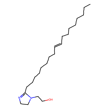 CCCCCCCCC=CCCCCCCCCC1=NCCN1CCO